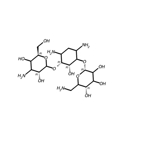 NCC1O[C@H](OC2C(N)CC(N)[C@@H](OC3O[C@H](CO)C(O)C(N)[C@H]3O)[C@H]2O)C(O)C(O)[C@@H]1O